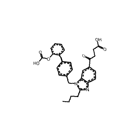 CCCCc1nc2ccc(C(=O)CCC(=O)O)cc2n1Cc1ccc(-c2ccccc2OC(=O)O)cc1